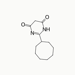 O=C1CC(=O)NC(C2CCCCCCC2)=N1